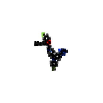 COc1cc(F)ccc1OCCCN1CCC(c2cn(-c3ccc(F)cc3)c3ccc(-c4ncn(C)n4)cc23)CC1